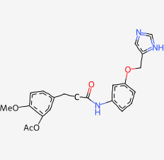 COc1ccc(CCC(=O)Nc2cccc(OCc3cnc[nH]3)c2)cc1OC(C)=O